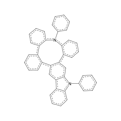 c1ccc(-n2c3ccccc3c3ccccc3c3cc4c5ccccc5n(-c5ccccc5)c4cc3c3ccccc32)cc1